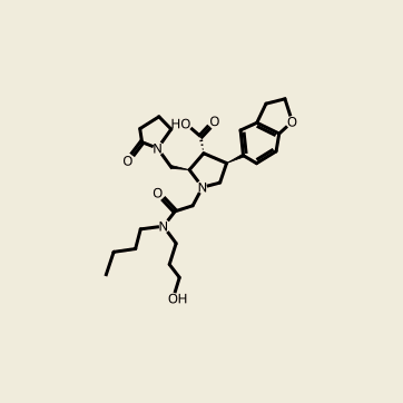 CCCCN(CCCO)C(=O)CN1C[C@H](c2ccc3c(c2)CCO3)[C@@H](C(=O)O)[C@@H]1CN1CCCC1=O